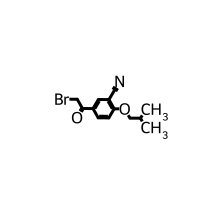 CC(C)COc1ccc(C(=O)CBr)cc1C#N